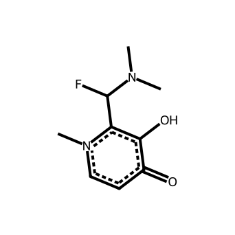 CN(C)C(F)c1c(O)c(=O)ccn1C